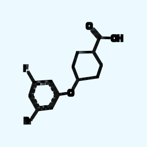 O=C(O)C1CCC(Oc2cc(F)cc(Br)c2)CC1